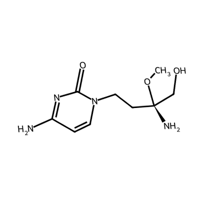 CO[C@](N)(CO)CCn1ccc(N)nc1=O